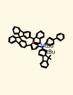 CC(C)(C)CC(c1ccc(-c2ccc3c(c2)C2(c4ccccc4-3)c3ccccc3-c3ccc(-c4ccc(N(c5ccc(-c6ccccc6)cc5)c5ccc6c(c5)C(C)(C)c5ccccc5-6)c5ccccc45)cc32)cc1)C(C)(C)C